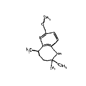 COc1ccc2c(n1)C(C)CC(C)(C)N2